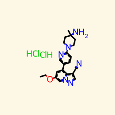 CCOc1cc(-c2ccc(N3CCC(C)(N)CC3)nc2)c2c(C#N)cnn2c1.Cl.Cl